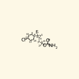 CC(C)(CC1CC1(F)c1ccc(Cl)cc1)OC(N)=O